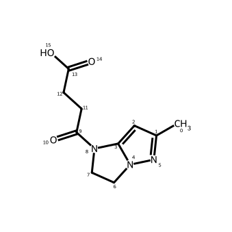 Cc1cc2n(n1)CCN2C(=O)CCC(=O)O